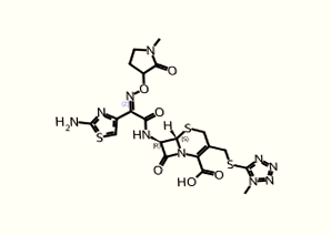 CN1CCC(O/N=C(\C(=O)N[C@@H]2C(=O)N3C(C(=O)O)=C(CSc4nnnn4C)CS[C@@H]23)c2csc(N)n2)C1=O